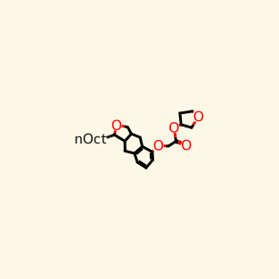 CCCCCCCCC1OCC2Cc3c(cccc3OCC(=O)OC3CCOC3)CC21